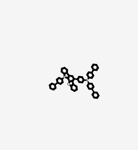 c1ccc(-c2ccc(N(c3ccc(-c4ccccc4)cc3)c3ccc(-c4cc5c6ccccc6n(-c6ccc(-c7ccccc7)cc6)c5c5oc6ccccc6c45)cc3)cc2)cc1